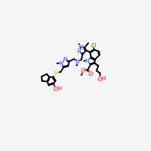 COC(=O)c1c(CCCO)c2ccc(Cl)c(-c3c(CN(C)Cc4cc(CSc5cc(O)cc6c5CCC6)n(C)n4)nn(C)c3C)c2n1C